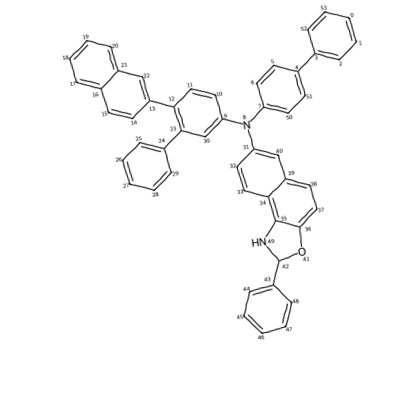 c1ccc(-c2ccc(N(c3ccc(-c4ccc5ccccc5c4)c(-c4ccccc4)c3)c3ccc4c5c(ccc4c3)OC(c3ccccc3)N5)cc2)cc1